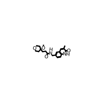 COC1(CCC(=O)NCc2ccc3[nH]c(=O)c(C)cc3c2)CCOCC1